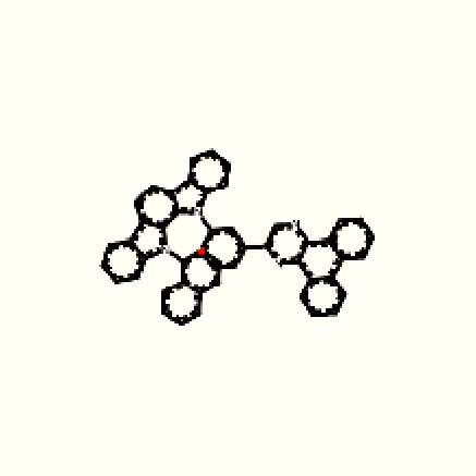 c1cc(-c2cnc3c4ccccc4c4ccccc4c3n2)cc(-n2c3ccccc3c3ccc4c5ccccc5n(-c5cccc6ccccc56)c4c32)c1